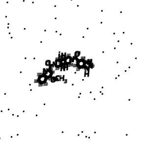 COc1cc(C(=O)N2C[C@@H]3[C@H]4CN(C(=O)c5ccc6[nH]nnc6c5)C[C@H]4[C@@H]3C2)nc2ccccc12